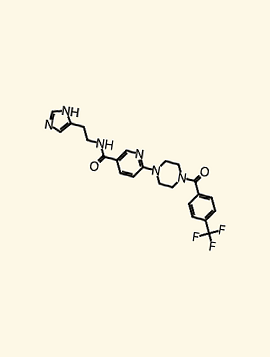 O=C(NCCc1cnc[nH]1)c1ccc(N2CCN(C(=O)c3ccc(C(F)(F)F)cc3)CC2)nc1